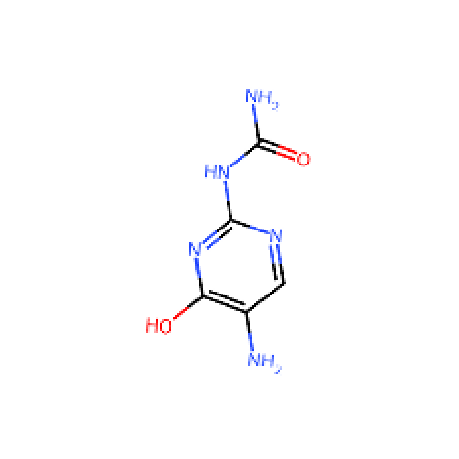 NC(=O)Nc1ncc(N)c(O)n1